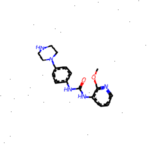 COc1ncccc1NC(=O)Nc1ccc(N2CCNCC2)cc1